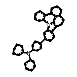 c1ccc(N(c2ccccc2)c2ccc(-c3ccc4c5ccc6cccc7c8ccccc8n(c4c3)c5c67)cc2)cc1